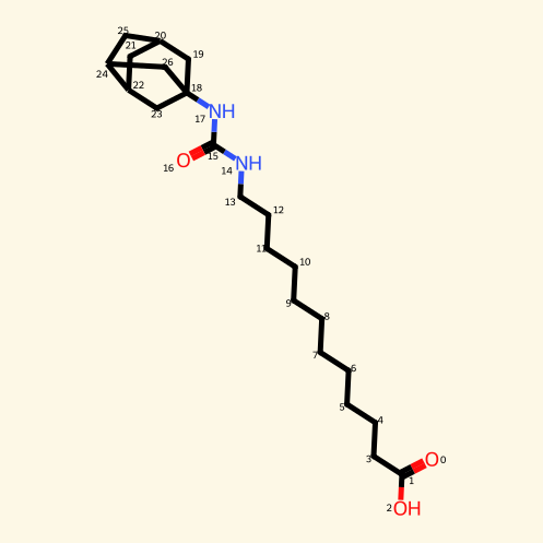 O=C(O)CCCCCCCCCCCNC(=O)NC12CC3CC(C1)C(C3)C2